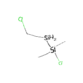 C[Si](C)(Cl)[SiH2]CCl